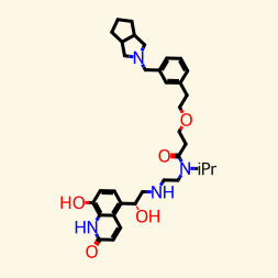 CC(C)N(CCNC[C@H](O)c1ccc(O)c2[nH]c(=O)ccc12)C(=O)CCOCCc1cccc(CN2CC3CCCC3C2)c1